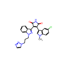 Cn1cc(C2=C(c3nn(CCCn4ccnn4)c4ccccc34)C(=O)NC2=O)c2cc(Cl)ccc21